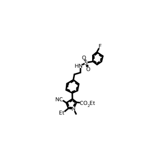 CCOC(=O)c1c(-c2ccc(CCNS(=O)(=O)c3cccc(F)c3)cc2)c(C#N)c(CC)n1C